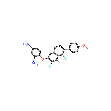 COc1ccc(-c2ccc3cc(Oc4ccc(N)cc4N)c(F)c(F)c3c2F)cc1